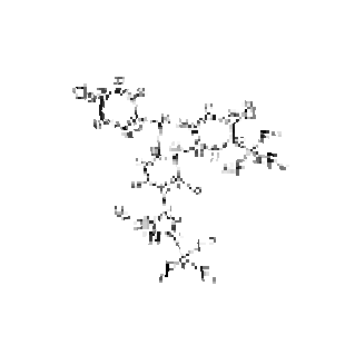 Cc1c(-c2cc(C(F)(F)F)nn2C)ccc(Cc2ccc(Cl)cc2)c1-c1ccc(Cl)c(C(F)(F)F)c1